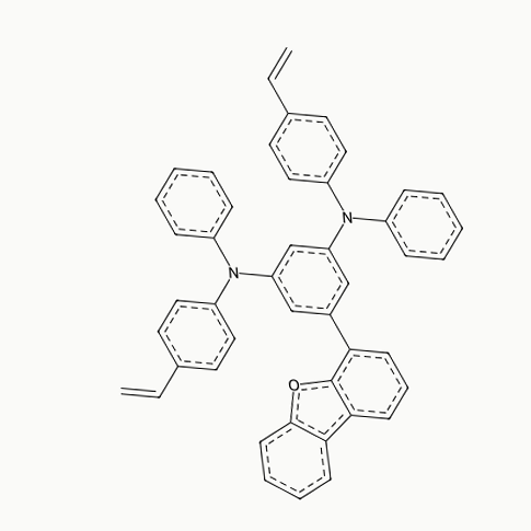 C=Cc1ccc(N(c2ccccc2)c2cc(-c3cccc4c3oc3ccccc34)cc(N(c3ccccc3)c3ccc(C=C)cc3)c2)cc1